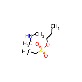 CCCOS(=O)(=O)CC.CNC